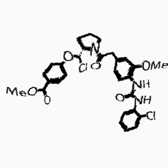 COC(=O)c1ccc(OC(Cl)[C@@H]2CCCN2C(=O)Cc2ccc(NC(=O)Nc3ccccc3Cl)c(OC)c2)cc1